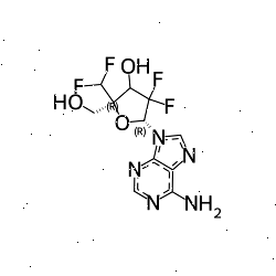 Nc1ncnc2c1ncn2[C@@H]1O[C@@](CO)(C(F)F)C(O)C1(F)F